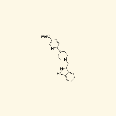 COc1ccc(N2CCN(Cc3n[nH]c4ccccc34)CC2)nc1